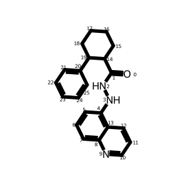 O=C(NNc1cccc2ncccc12)C1CCCCC1c1ccccc1